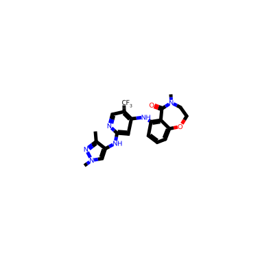 Cc1nn(C)cc1Nc1cc(Nc2cccc3c2C(=O)N(C)CCO3)c(C(F)(F)F)cn1